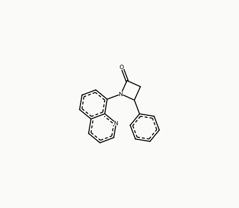 O=C1CC(c2ccccc2)N1c1cccc2cccnc12